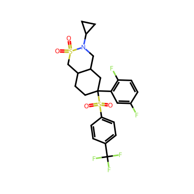 O=S1(=O)CC2CCC(c3cc(F)ccc3F)(S(=O)(=O)c3ccc(C(F)(F)F)cc3)CC2CN1C1CC1